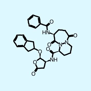 O=C1C[C@H](NC(=O)[C@@H]2CCCN3C(=O)CC[C@H](NC(=O)c4ccccc4)C(=O)N23)[C@H](OC2Cc3ccccc3C2)O1